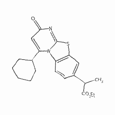 CCOC(=O)C(C)c1ccc2c(c1)sc1nc(=O)cc(C3CCCCC3)n12